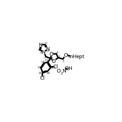 CCCCCCCOCC1COC(Cn2cncn2)(c2ccc(Cl)cc2Cl)O1.O=[N+]([O-])O